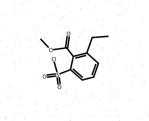 CCc1cccc(S(=O)(=O)Cl)c1C(=O)OC